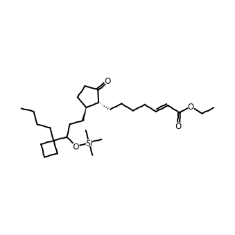 CCCCC1(C(CC[C@H]2CCC(=O)[C@@H]2CCCCC=CC(=O)OCC)O[Si](C)(C)C)CCC1